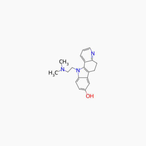 CN(C)CCn1c2c(c3cc(O)ccc31)CCc1ncccc1-2